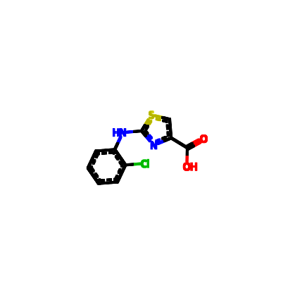 O=C(O)c1csc(Nc2ccccc2Cl)n1